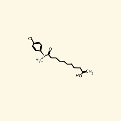 C=C(O)CCCCCCCCC(=O)N(C)c1ccc(Cl)cc1